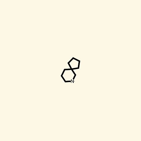 C1CCC2(C1)CCC[N]C2